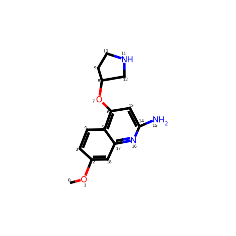 COc1ccc2c(OC3CCNC3)cc(N)nc2c1